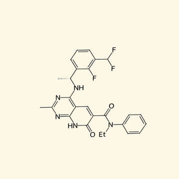 CCN(C(=O)c1cc2c(N[C@H](C)c3cccc(C(F)F)c3F)nc(C)nc2[nH]c1=O)c1ccccc1